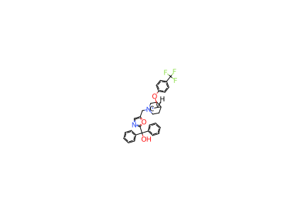 OC(c1ccccc1)(c1ccccc1)c1ncc(C[N+]23CCC(CC2)[C@@H](Oc2ccc(C(F)(F)F)cc2)C3)o1